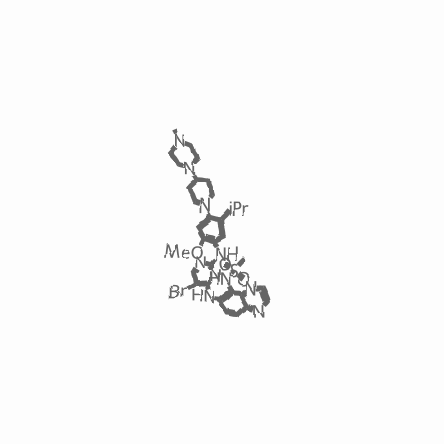 COc1cc(N2CCC(N3CCN(C)CC3)CC2)c(C(C)C)cc1Nc1ncc(Br)c(Nc2ccc3nccnc3c2NS(C)(=O)=O)n1